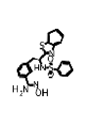 NC(=NO)c1cccc(C[C@H](NS(=O)(=O)c2ccccc2)c2nc3ccccc3s2)c1